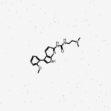 COc1ccccc1-c1c[nH]c2nc(NC(=O)NCCN(C)C)ccc12